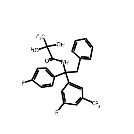 O=C(NC(Cc1ccccc1)(c1ccc(F)cc1)c1cc(F)cc(C(F)(F)F)c1)C(O)(O)C(F)(F)F